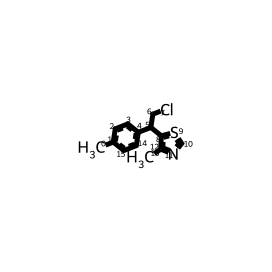 Cc1ccc(C(CCl)c2scnc2C)cc1